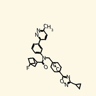 Cc1ccc(-c2cccc(N(CC34CCC(c5nc(C6CC6)no5)(CC3)CC4)C(=O)C3CC4(F)CC3C4)c2)nn1